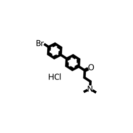 CN(C)CCC(=O)c1ccc(-c2ccc(Br)cc2)cc1.Cl